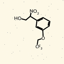 O=[N+]([O-])C(CO)c1cccc(OCC(F)(F)F)c1